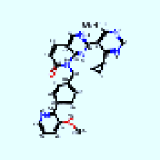 COc1ncnc(C2CC2)c1-c1ncc2ccc(=O)n(Cc3ccc(-c4ncccc4OC(C)C)cc3)c2n1